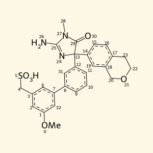 COc1cc(CS(=O)(=O)O)cc(-c2cccc(C3(c4ccc5c(c4)COCC5)N=C(N)N(C)C3=O)c2)c1